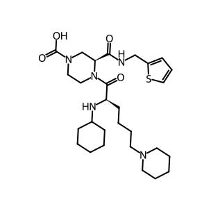 O=C(NCc1cccs1)[C@@H]1CN(C(=O)O)CCN1C(=O)[C@@H](CCCCN1CCCCC1)NC1CCCCC1